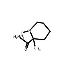 CN1CCCCC1(C)C(N)=O